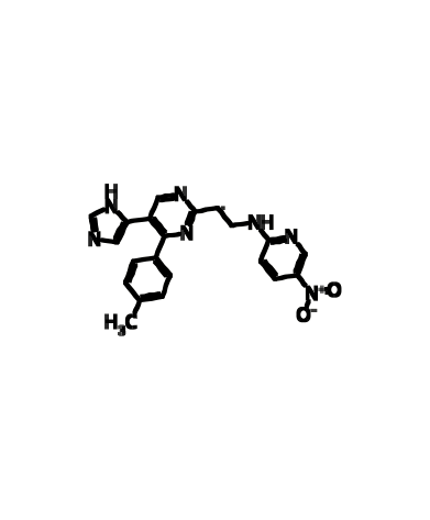 Cc1ccc(-c2nc([CH]CNc3ccc([N+](=O)[O-])cn3)ncc2-c2cnc[nH]2)cc1